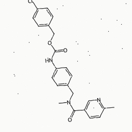 Cc1ccc(C(=O)N(C)Cc2ccc(NC(=O)OCc3ccc(Cl)cc3)cc2)cn1